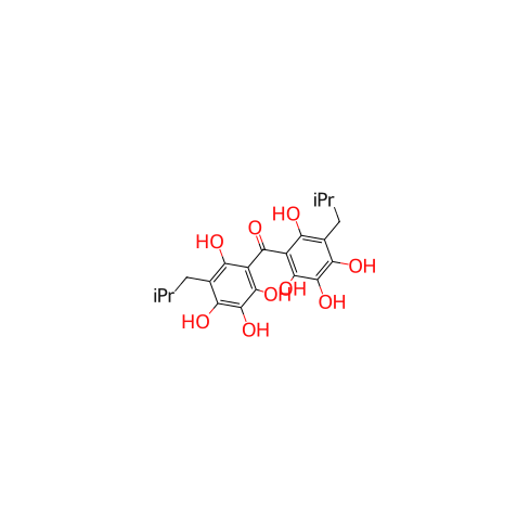 CC(C)Cc1c(O)c(O)c(O)c(C(=O)c2c(O)c(O)c(O)c(CC(C)C)c2O)c1O